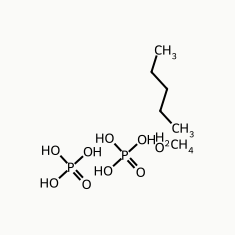 C.CCCCC.O.O=P(O)(O)O.O=P(O)(O)O